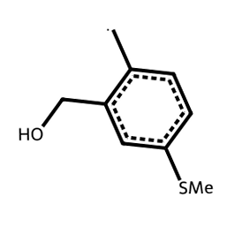 [CH2]c1ccc(SC)cc1CO